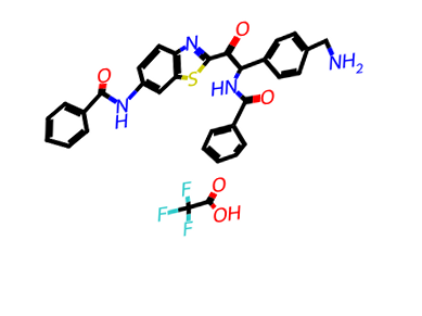 NCc1ccc(C(NC(=O)c2ccccc2)C(=O)c2nc3ccc(NC(=O)c4ccccc4)cc3s2)cc1.O=C(O)C(F)(F)F